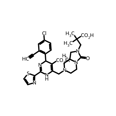 C#Cc1cc(Cl)ccc1C1N=C(c2nccs2)NC(CN2CCN3C(=O)N(CC(C)(C)C(=O)O)C[C@@H]3C2)=C1C(=O)OCC